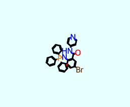 O=C(Nc1ccncc1)c1cc(Br)ccc1N=P(c1ccccc1)(c1ccccc1)c1ccccc1